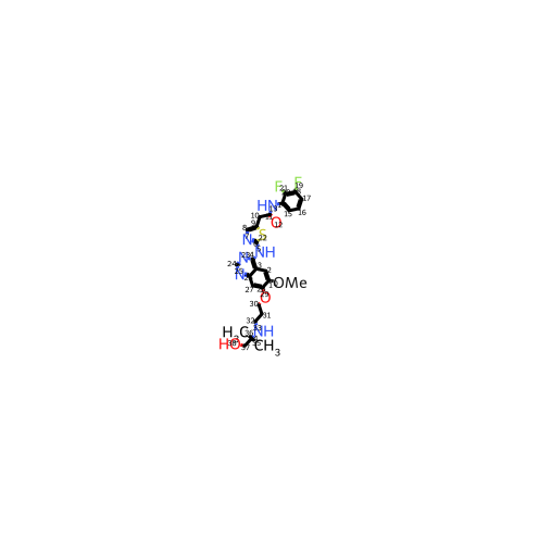 COc1cc2c(Nc3ncc(CC(=O)Nc4cccc(F)c4F)s3)ncnc2cc1OCCCNC(C)(C)CO